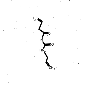 C=CCNC(=O)[N]C(=O)CC=C